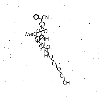 C#CCOCCOCCOCCOCCNC(=O)c1nc(-c2ncc(OC)c3c(C(=O)C(=O)N4CCC(=C(C#N)c5ccccc5)CC4)c[nH]c23)cs1